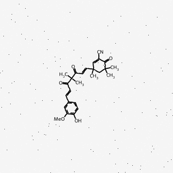 COc1cc(/C=C/C(=O)C(C)(C)C(=O)/C=C/C2(C)C=C(C#N)C(=O)C(C)(C)C2)ccc1O